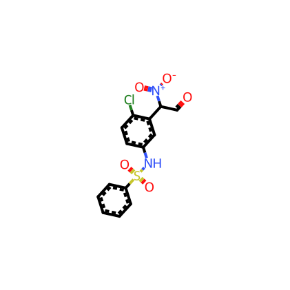 O=CC(c1cc(NS(=O)(=O)c2ccccc2)ccc1Cl)[N+](=O)[O-]